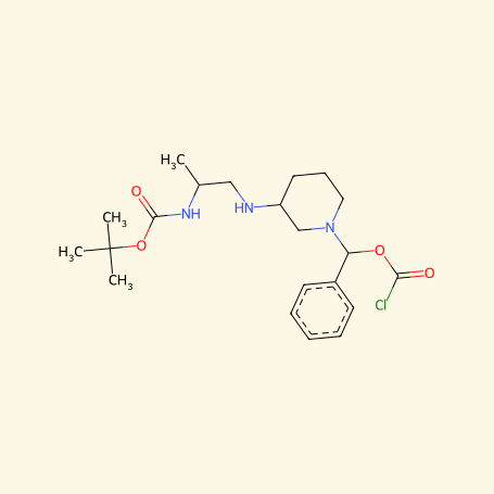 CC(CNC1CCCN(C(OC(=O)Cl)c2ccccc2)C1)NC(=O)OC(C)(C)C